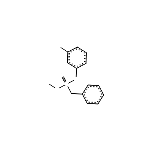 CCOP(=O)(Cc1ccccc1)Oc1cccc(C)c1